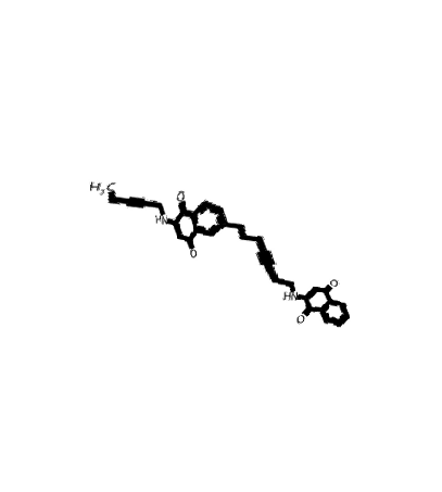 CCC#CCNC1=CC(=O)c2cc(CCCC#CCCNC3=CC(=O)c4ccccc4C3=O)ccc2C1=O